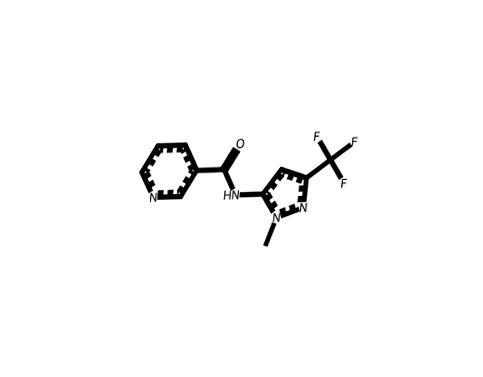 Cn1nc(C(F)(F)F)cc1NC(=O)c1cccnc1